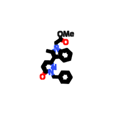 COC(=O)Cn1c(C)c(-c2ccc(=O)n(Cc3ccccc3)n2)c2ccccc21